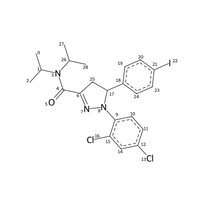 CC(C)N(C(=O)C1=NN(c2ccc(Cl)cc2Cl)C(c2ccc(I)cc2)C1)C(C)C